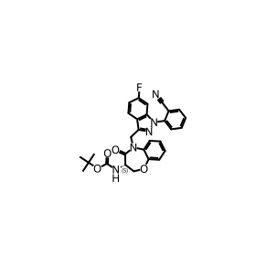 CC(C)(C)OC(=O)N[C@H]1COc2ccccc2N(Cc2nn(-c3ccccc3C#N)c3cc(F)ccc23)C1=O